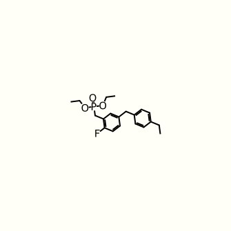 CCOP(=O)(Cc1cc(Cc2ccc(CC)cc2)ccc1F)OCC